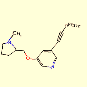 CCCCCC#Cc1cncc(OCC2CCCN2C)c1